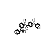 O=C(Nc1cccc(Nc2ccncc2)c1)c1ccc(Nc2ccncc2)cc1